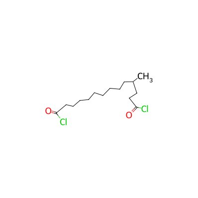 CC(CCCCCCCCCC(=O)Cl)CCC(=O)Cl